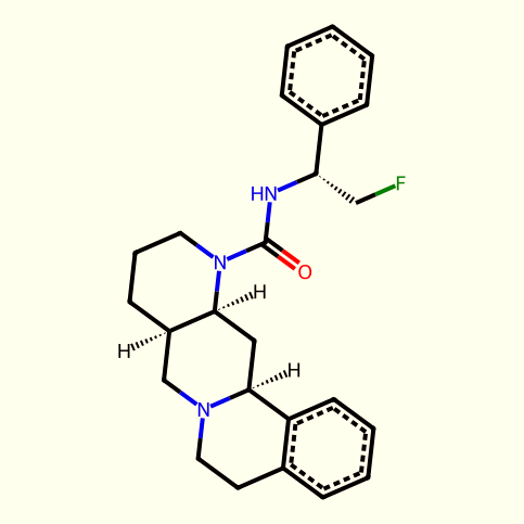 O=C(N[C@@H](CF)c1ccccc1)N1CCC[C@@H]2CN3CCc4ccccc4[C@@H]3C[C@@H]21